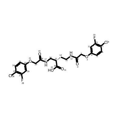 O=C(COc1ccc(Cl)c(F)c1)NCC[C@@H](CNC(=O)COc1ccc(Cl)c(F)c1)C(=O)O